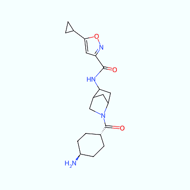 N[C@H]1CC[C@H](C(=O)N2CC3CC2CC3NC(=O)c2cc(C3CC3)on2)CC1